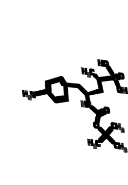 C[C@H](C[C@H](Cc1ccc(N)cc1)NC(=O)OC(C)(C)C)P(=O)(O)O